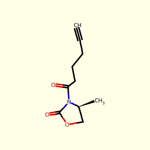 C#CCCCC(=O)N1C(=O)OC[C@@H]1C